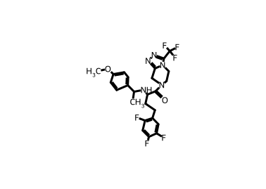 COc1ccc(C(C)NC(CCc2cc(F)c(F)cc2F)C(=O)N2CCn3c(nnc3C(F)(F)F)C2)cc1